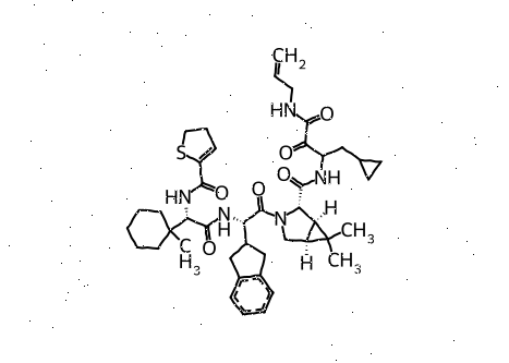 C=CCNC(=O)C(=O)C(CC1CC1)NC(=O)[C@@H]1[C@@H]2[C@H](CN1C(=O)[C@@H](NC(=O)[C@@H](NC(=O)C1=CCCS1)C1(C)CCCCC1)C1Cc3ccccc3C1)C2(C)C